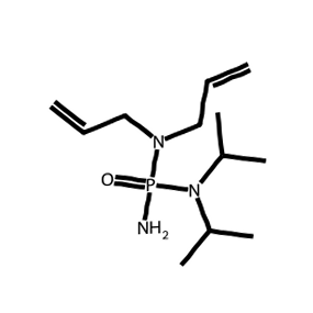 C=CCN(CC=C)P(N)(=O)N(C(C)C)C(C)C